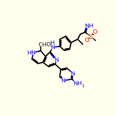 CC(CC(=N)S(C)(=O)=O)c1ccc(Nc2nc(-c3cnc(N)nc3)cc3c2C(C=O)NC=C3)cc1